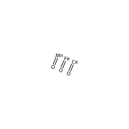 [O]=[Ce].[O]=[Fe].[O]=[Mn]